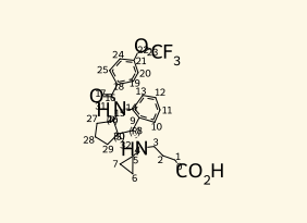 O=C(O)CCCN(C1CC1)[C@H]1c2ccccc2N(C(=O)c2ccc(OC(F)(F)F)cc2)[C@@H]2CCC[C@@H]21